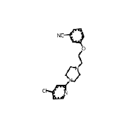 N#Cc1cccc(OCCN2CCN(c3cc(Cl)ccn3)CC2)c1